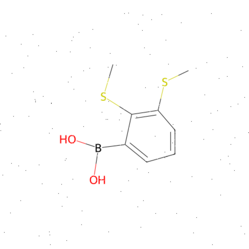 CSc1cccc(B(O)O)c1SC